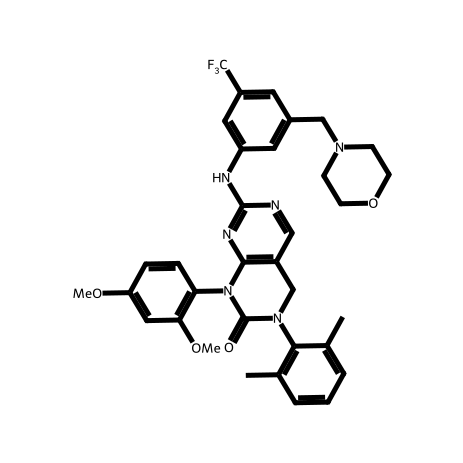 COc1ccc(N2C(=O)N(c3c(C)cccc3C)Cc3cnc(Nc4cc(CN5CCOCC5)cc(C(F)(F)F)c4)nc32)c(OC)c1